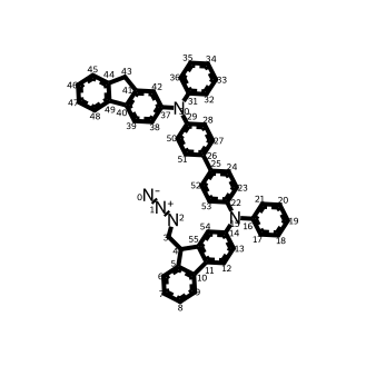 [N-]=[N+]=NCC1c2ccccc2-c2ccc(N(c3ccccc3)c3ccc(-c4ccc(N(c5ccccc5)c5ccc6c(c5)Cc5ccccc5-6)cc4)cc3)cc21